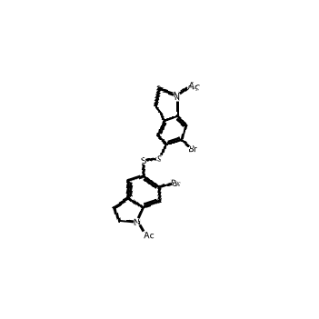 CC(=O)N1CCc2cc(SSc3cc4c(cc3Br)N(C(C)=O)CC4)c(Br)cc21